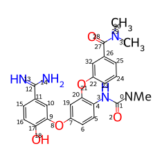 CNC(=O)Nc1ccc(Oc2cc(C(=N)N)ccc2O)cc1Oc1cccc(C(=O)N(C)C)c1